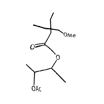 COC(C)(C)C(=O)O[C](C)C(C)OC(C)=O